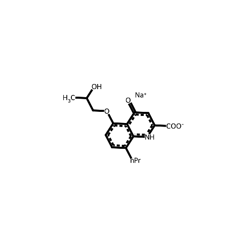 CCCc1ccc(OCC(C)O)c2c(=O)cc(C(=O)[O-])[nH]c12.[Na+]